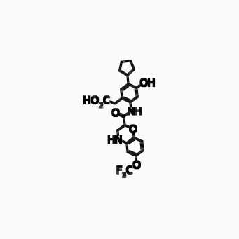 O=C(O)Cc1cc(C2CCCC2)c(O)cc1NC(=O)C1CNc2cc(OC(F)(F)F)ccc2O1